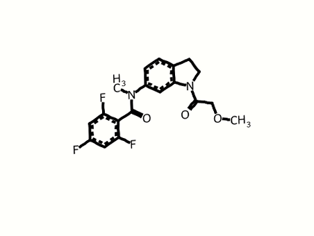 COCC(=O)N1CCc2ccc(N(C)C(=O)c3c(F)cc(F)cc3F)cc21